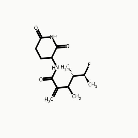 C=C(C(=O)NC1CCC(=O)NC1=O)C(C)[C@H](C)[C@H](C)F